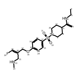 C=C(NCC)C1CCN(S(=O)(=O)c2ccc(OC/C(=C/F)CNC)nc2)CC1